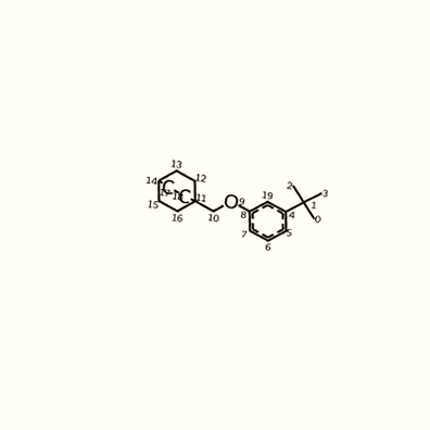 CC(C)(C)c1cccc(OCC23CCC(CC2)CC3)c1